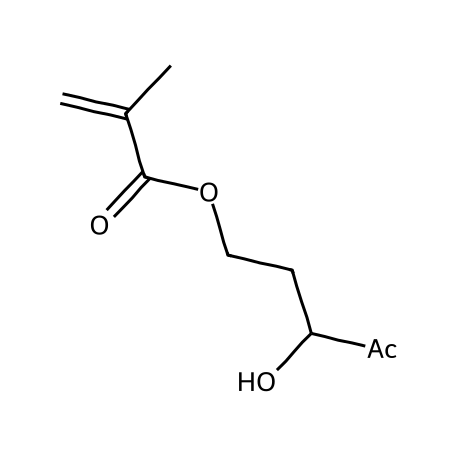 C=C(C)C(=O)OCCC(O)C(C)=O